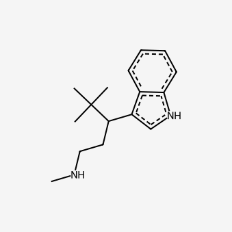 CNCCC(c1c[nH]c2ccccc12)C(C)(C)C